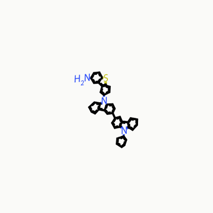 Nc1ccc2sc3ccc(-n4c5ccccc5c5cc(-c6ccc7c(c6)c6ccccc6n7-c6ccccc6)ccc54)cc3c2c1